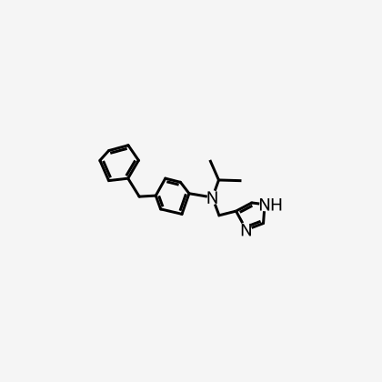 CC(C)N(Cc1c[nH]cn1)c1ccc(Cc2ccccc2)cc1